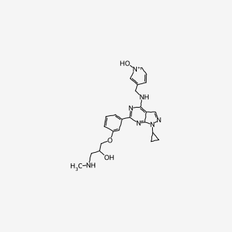 CNCC(O)COc1cccc(-c2nc(NCc3ccc[n+](O)c3)c3cnn(C4CC4)c3n2)c1